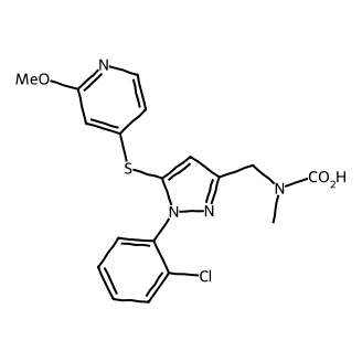 COc1cc(Sc2cc(CN(C)C(=O)O)nn2-c2ccccc2Cl)ccn1